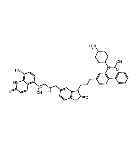 NC1CCC(N(C(=O)O)c2cc(CCCn3c(=O)oc4ccc(CNC[C@H](O)c5ccc(O)c6[nH]c(=O)ccc56)cc43)ccc2-c2ccccc2)CC1